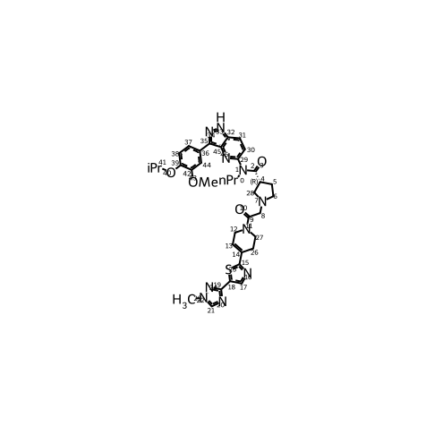 CCCN(C(=O)[C@@H]1CCN(CC(=O)N2CC=C(c3ncc(-c4ncn(C)n4)s3)CC2)C1)c1ccc2[nH]nc(-c3ccc(OC(C)C)c(OC)c3)c2n1